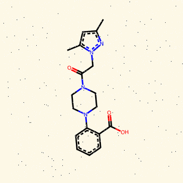 Cc1cc(C)n(CC(=O)N2CCN(c3ccccc3C(=O)O)CC2)n1